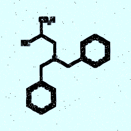 N#CC(CN(Cc1ccccc1)Cc1ccccc1)C(=O)O